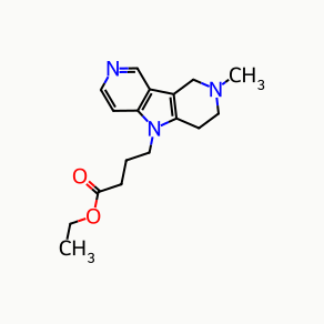 CCOC(=O)CCCn1c2c(c3cnccc31)CN(C)CC2